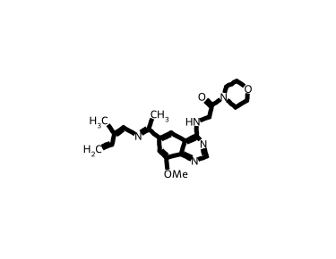 C=C/C(C)=C\N=C(/C)c1cc(OC)c2ncnc(NCC(=O)N3CCOCC3)c2c1